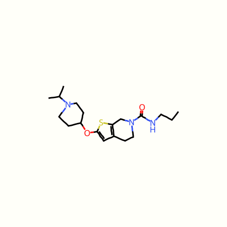 CCCNC(=O)N1CCc2cc(OC3CCN(C(C)C)CC3)sc2C1